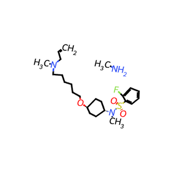 C=CCN(C)CCCCCCO[C@H]1CC[C@H](N(C)S(=O)(=O)c2ccccc2F)CC1.CN